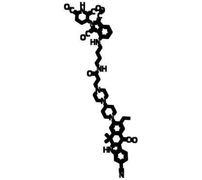 CCc1cc2c(cc1N1CCC(N3CCN(CCC(=O)NCCCCNc4cccc5c(=C=O)n(C6CCC(=C=O)NC6=C=O)c(=C=O)c45)CC3)CC1)C(C)(C)c1[nH]c3cc(C#N)ccc3c1C2=C=O